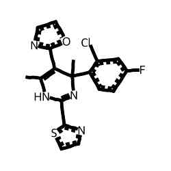 CC1=C(c2ncco2)C(C)(c2ccc(F)cc2Cl)N=C(c2nccs2)N1